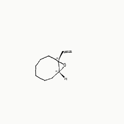 C=C[C@]12CCCCCC[C@H]1O2